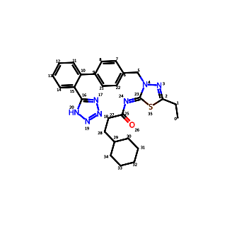 CCc1nn(Cc2ccc(-c3ccccc3-c3nnn[nH]3)cc2)c(=NC(=O)CCC2CCCCC2)s1